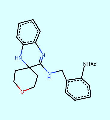 CC(=O)Nc1ccccc1CNC1=Nc2ccccc2NC12CCOCC2